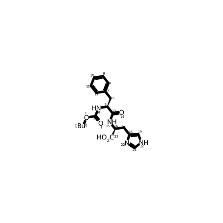 CC(C)(C)OC(=O)N[C@@H](Cc1ccccc1)C(=O)N[C@@H](Cc1c[nH]cn1)C(=O)O